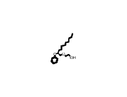 CCCCCCCCCC(COCCO)Oc1ccccc1